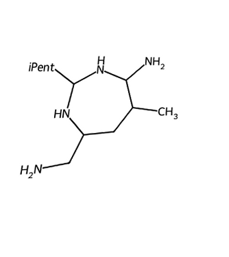 CCCC(C)C1NC(CN)CC(C)C(N)N1